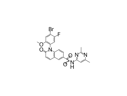 COc1cc(Br)c(F)cc1-n1c(=O)ccc2cc(S(=O)(=O)Nc3cc(C)nc(C)n3)ccc21